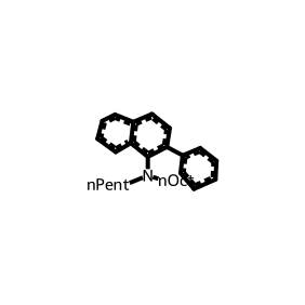 CCCCCCCCN(CCCCC)c1c(-c2ccccc2)ccc2ccccc12